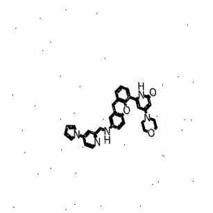 O=c1cc(N2CCOCC2)cc(-c2cccc3c2Oc2ccc(NCc4cc(-n5cccc5)ccn4)cc2C3)[nH]1